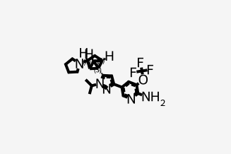 CC(C)n1nc(-c2cnc(N)c(OC(F)(F)F)c2)cc1[C@@]12C3[C@H](N4CCCC4)C[C@H]1[C@@H]32